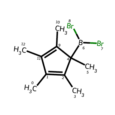 CC1=C(C)C(C)(B(Br)Br)C(C)=C1C